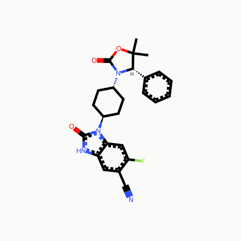 CC1(C)OC(=O)N([C@H]2CC[C@H](n3c(=O)[nH]c4cc(C#N)c(F)cc43)CC2)[C@H]1c1ccccc1